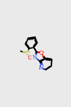 C[S+]([O-])c1ccccc1-c1nc2ncccc2o1